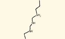 CCC[SiH2]CNCNCC